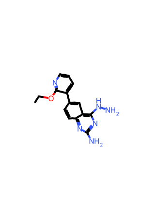 CCOc1ncccc1-c1ccc2nc(N)nc(NN)c2c1